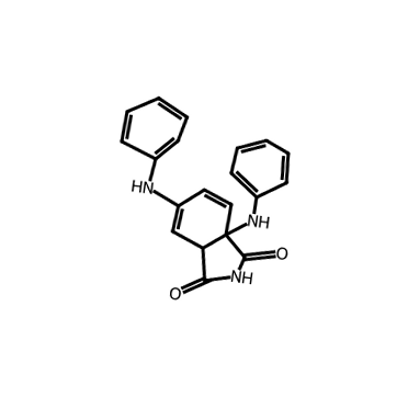 O=C1NC(=O)C2(Nc3ccccc3)C=CC(Nc3ccccc3)=CC12